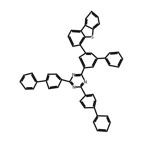 c1ccc(-c2ccc(-c3nc(-c4ccc(-c5ccccc5)cc4)nc(-c4cc(-c5ccccc5)cc(-c5cccc6c5sc5ccccc56)c4)n3)cc2)cc1